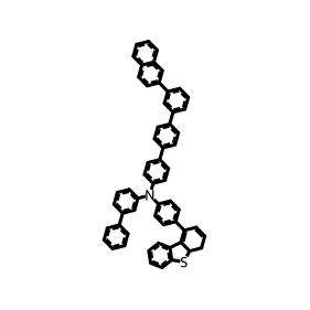 C1=CC(c2ccc(N(c3ccc(-c4ccc(-c5cccc(-c6ccc7ccccc7c6)c5)cc4)cc3)c3cccc(-c4ccccc4)c3)cc2)=C2c3ccccc3SC2C1